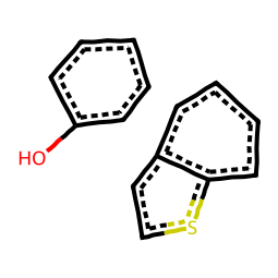 Oc1ccccc1.c1ccc2sccc2c1